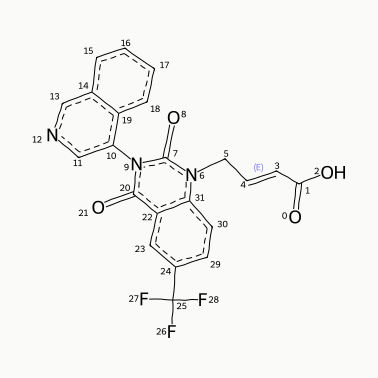 O=C(O)/C=C/Cn1c(=O)n(-c2cncc3ccccc23)c(=O)c2cc(C(F)(F)F)ccc21